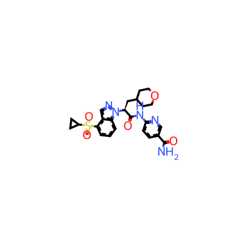 NC(=O)c1ccc(NC(=O)[C@H](CC2CCOCC2)n2ncc3c(S(=O)(=O)C4CC4)cccc32)nc1